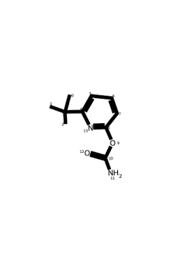 CC(C)(C)c1cccc(OC(N)=O)n1